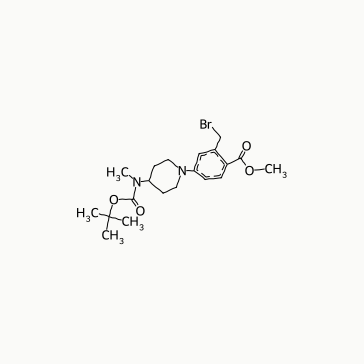 COC(=O)c1ccc(N2CCC(N(C)C(=O)OC(C)(C)C)CC2)cc1CBr